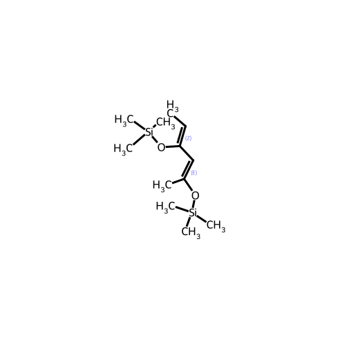 C/C=C(/C=C(\C)O[Si](C)(C)C)O[Si](C)(C)C